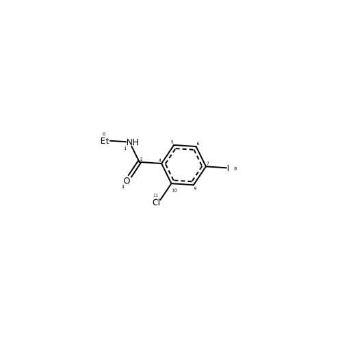 CCNC(=O)c1ccc(I)cc1Cl